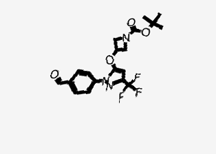 CC(C)(C)OC(=O)N1CC(Oc2cc(C(F)(F)F)nn2-c2ccc(C=O)cc2)C1